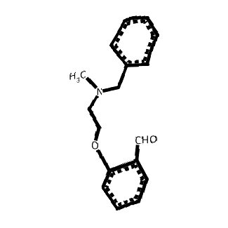 CN(CCOc1ccccc1C=O)Cc1ccccc1